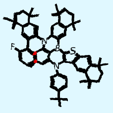 Cc1cc2c3c(c1)N(c1ccc(C(C)(C)C)cc1)c1c(sc4cc5c(cc14)C(C)(C)CCC5(C)C)B3c1cc3c(cc1N2c1cc2c(cc1-c1ccccc1F)C(C)(C)CCC2(C)C)C(C)(C)CCC3(C)C